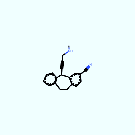 CNCC#CC1c2ccccc2CCc2ccc(C#N)cc21